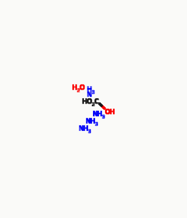 N.N.N.N.O.O=C(O)O